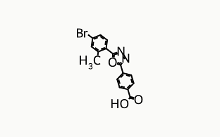 Cc1cc(Br)ccc1-c1nnc(-c2ccc(C(=O)O)cc2)o1